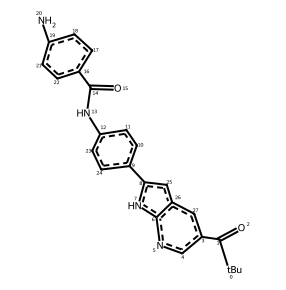 CC(C)(C)C(=O)c1cnc2[nH]c(-c3ccc(NC(=O)c4ccc(N)cc4)cc3)cc2c1